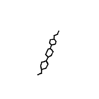 CCCC1CCC(C2CCC(C3CCC(CC)CC3)CC2)CC1